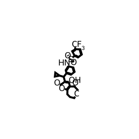 O=C1CCCCCc2oc(=O)c(C(c3cccc(NS(=O)(=O)c4cccc(C(F)(F)F)c4)c3)C3CC3)c(O)c21